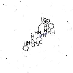 C=C/C(CCNC(=O)Nc1ccccc1)=C1\N=C(/N)Nc2cccc(c2)S(=O)(=O)NCCCN1